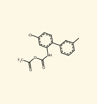 Cc1cccc(-c2ccc(Cl)cc2NC(=O)OC(=O)C(F)(F)F)c1